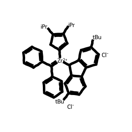 CC(C)C1=C(C(C)C)C[C]([Zr+2](=[C](c2ccccc2)c2ccccc2)[CH]2c3cc(C(C)(C)C)ccc3-c3ccc(C(C)(C)C)cc32)=C1.[Cl-].[Cl-]